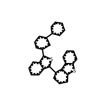 c1ccc(-c2cccc(-c3sc(-c4cccc5sc6ccccc6c45)c4ccccc34)c2)cc1